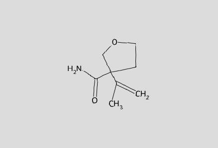 C=C(C)C1(C(N)=O)CCOC1